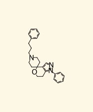 c1ccc(CCCN2CCC3(CC2)OCCc2c3cnn2-c2ccccc2)cc1